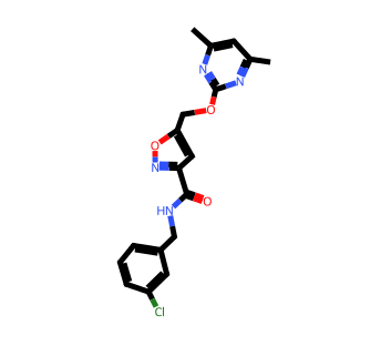 Cc1cc(C)nc(OCc2cc(C(=O)NCc3cccc(Cl)c3)no2)n1